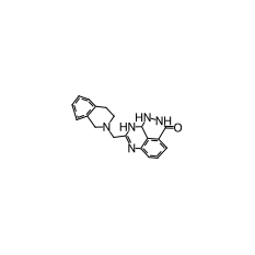 O=C1NNC2NC(CN3CCc4ccccc4C3)=Nc3cccc1c32